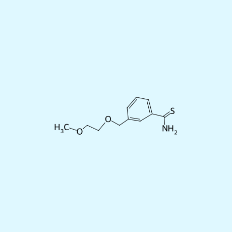 COCCOCc1cccc(C(N)=S)c1